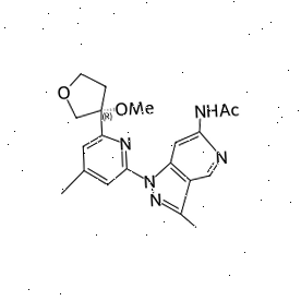 CO[C@@]1(c2cc(C)cc(-n3nc(C)c4cnc(NC(C)=O)cc43)n2)CCOC1